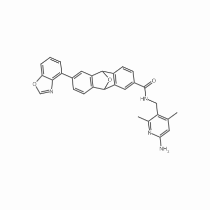 Cc1cc(N)nc(C)c1CNC(=O)c1ccc2c(c1)C1OC2c2cc(-c3cccc4ocnc34)ccc21